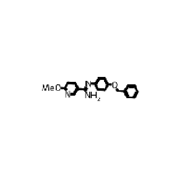 COc1ccc(C(N)=Nc2ccc(OCc3ccccc3)cc2)cn1